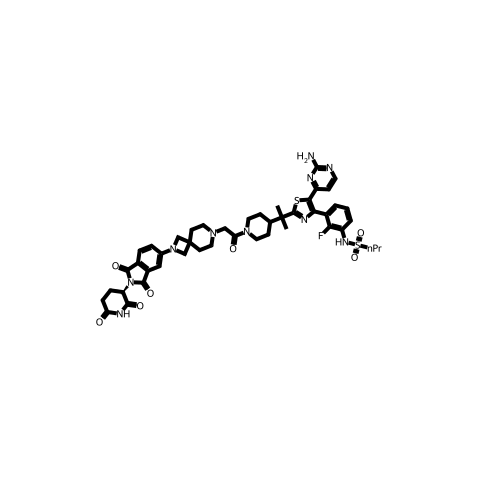 CCCS(=O)(=O)Nc1cccc(-c2nc(C(C)(C)C3CCN(C(=O)CN4CCC5(CC4)CN(c4ccc6c(c4)C(=O)N([C@@H]4CCC(=O)NC4=O)C6=O)C5)CC3)sc2-c2ccnc(N)n2)c1F